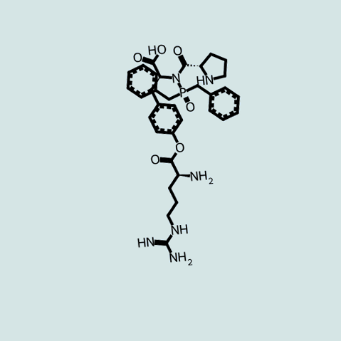 N=C(N)NCCC[C@H](N)C(=O)Oc1ccc(C[C@@H](C(=O)O)N(C(=O)[C@@H]2CCCN2)P(=O)(Cc2ccccc2)Cc2ccccc2)cc1